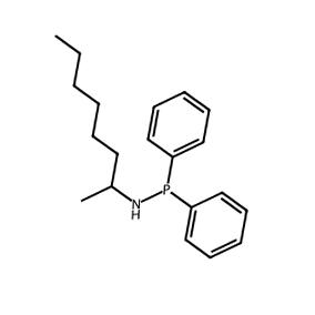 CCCCCCC(C)NP(c1ccccc1)c1ccccc1